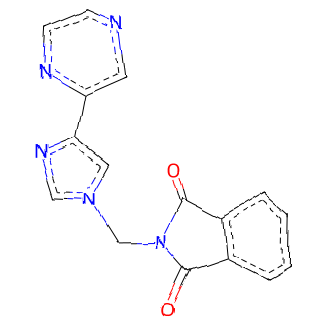 O=C1c2ccccc2C(=O)N1Cn1cnc(-c2cnccn2)c1